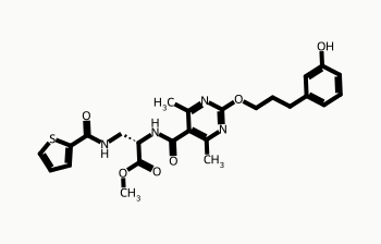 COC(=O)[C@H](CNC(=O)c1cccs1)NC(=O)c1c(C)nc(OCCCc2cccc(O)c2)nc1C